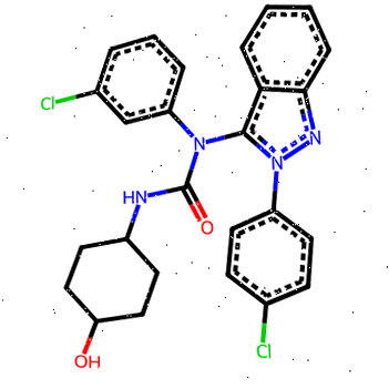 O=C(NC1CCC(O)CC1)N(c1cccc(Cl)c1)c1c2ccccc2nn1-c1ccc(Cl)cc1